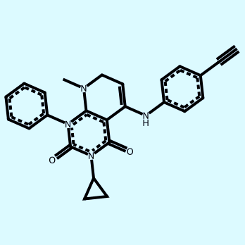 C#Cc1ccc(NC2=CCN(C)c3c2c(=O)n(C2CC2)c(=O)n3-c2ccccc2)cc1